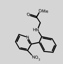 COC(=O)CNc1ccccc1-c1ncccc1[N+](=O)[O-]